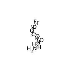 N[C@H]1[C@H]2CN(C(=O)c3ccc4cc(Oc5ccc(C(F)F)cn5)ccc4n3)C[C@@H]12